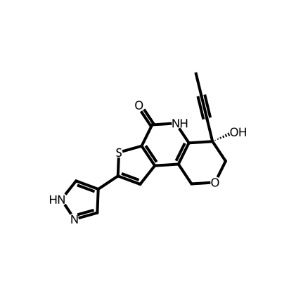 CC#C[C@@]1(O)COCc2c1[nH]c(=O)c1sc(-c3cn[nH]c3)cc21